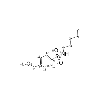 CCCCCNS(=O)(=O)c1ccc(COC)cc1